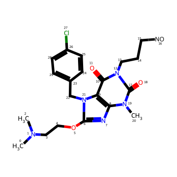 CN(C)CCOc1nc2c(c(=O)n(CCCN=O)c(=O)n2C)n1Cc1ccc(Cl)cc1